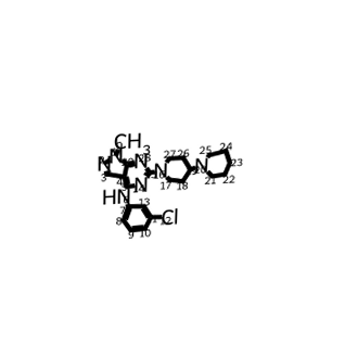 Cn1ncc2c(Nc3cccc(Cl)c3)nc(N3CCC(N4CCCCC4)CC3)nc21